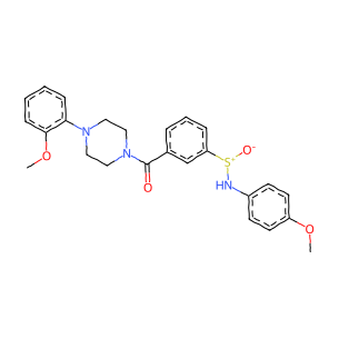 COc1ccc(N[S+]([O-])c2cccc(C(=O)N3CCN(c4ccccc4OC)CC3)c2)cc1